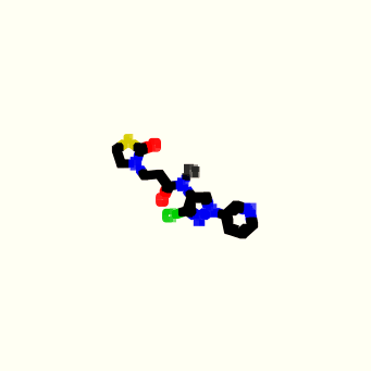 CCN(C(=O)CCN1CCSC1=O)c1cn(-c2cccnc2)nc1Cl